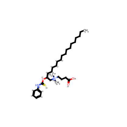 CCCCCCCCCCCCCCCCC(C[N+](C)(C)CCCC(=O)[O-])OC(=S)Nc1ccccc1